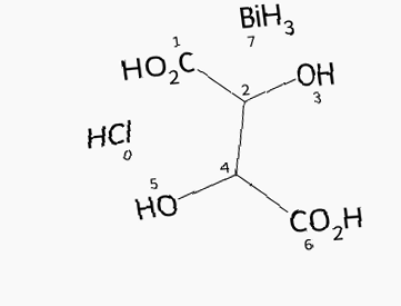 Cl.O=C(O)C(O)C(O)C(=O)O.[BiH3]